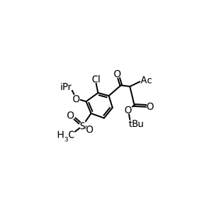 CC(=O)C(C(=O)OC(C)(C)C)C(=O)c1ccc(S(C)(=O)=O)c(OC(C)C)c1Cl